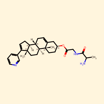 CC(N)C(=O)NCC(=O)O[C@H]1CC[C@@]2(C)C(=CC[C@@H]3[C@@H]2CC[C@]2(C)C(c4cccnc4)=CC[C@@H]32)C1